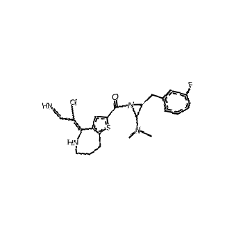 CN(C)C1[C@H](Cc2cccc(F)c2)N1C(=O)c1cc2c(s1)CCCN/C2=C(/Cl)C=N